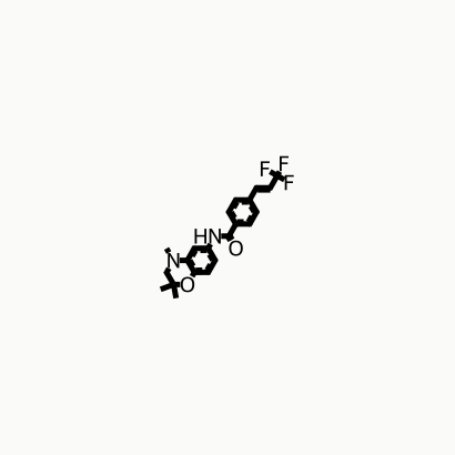 CN1CC(C)(C)Oc2ccc(NC(=O)c3ccc(/C=C/C(F)(F)F)cc3)cc21